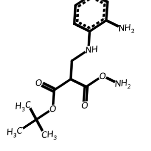 CC(C)(C)OC(=O)C(CNc1ccccc1N)C(=O)ON